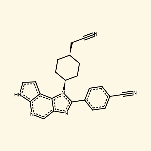 N#CC[C@H]1CC[C@@H](n2c(-c3ccc(C#N)cc3)nc3cnc4[nH]ccc4c32)CC1